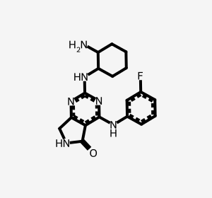 NC1CCCCC1Nc1nc2c(c(Nc3cccc(F)c3)n1)C(=O)NC2